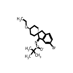 CCO[C@H]1CC[C@]2(CC1)Cc1ccc(Br)cc1C2=N[S+]([O-])C(C)(C)C